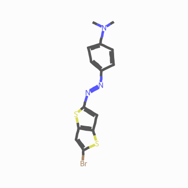 CN(C)c1ccc(N=Nc2cc3sc(Br)cc3s2)cc1